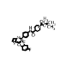 CC(C)(C)OC(=O)N1CCC(C(=O)Nc2ccc(-c3nc(Oc4ccc(F)cc4F)c4sccc4n3)cc2)CC1